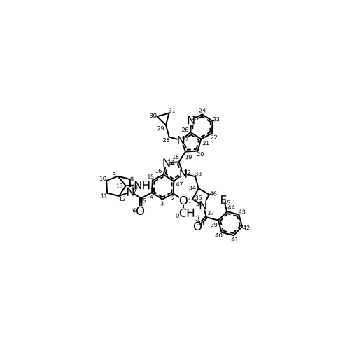 COc1cc(C(=O)N2CC3CCC2C3N)cc2nc(-c3cc4cccnc4n3CC3CC3)n(CC3CN(C(=O)c4ccccc4F)C3)c12